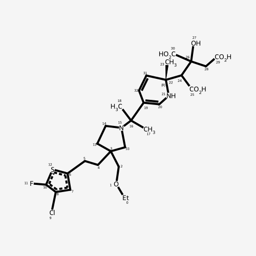 CCOCC1(CCc2cc(Cl)c(F)s2)CCN(C(C)(C)C2=CN[C@@](C)(C(C(=O)O)C(O)(CC(=O)O)C(=O)O)C=C2)C1